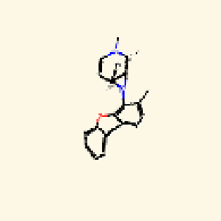 Cc1ccc2c(oc3ccccc32)c1N1C2[C@@H](C)N(C)C=C[C@H]21